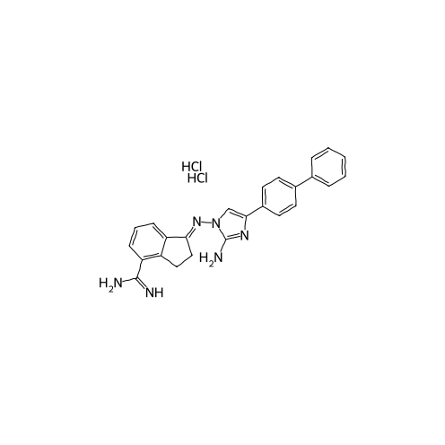 Cl.Cl.N=C(N)c1cccc2c1CCC2=Nn1cc(-c2ccc(-c3ccccc3)cc2)nc1N